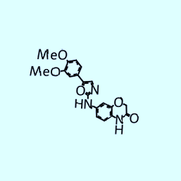 COc1ccc(-c2cnc(Nc3ccc4c(c3)OCC(=O)N4)o2)cc1OC